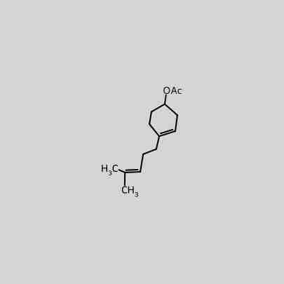 CC(=O)OC1CC=C(CCC=C(C)C)CC1